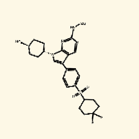 CCCCNc1ncc2c(-c3ccc(S(=O)(=O)C4CCC(F)(F)CC4)cc3)cn([C@H]3CC[C@H](O)CC3)c2n1